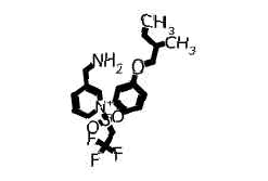 CCC(C)COc1cccc([N+]2(S(=O)(=O)CC(F)(F)F)C=C(CN)C=CC2)c1